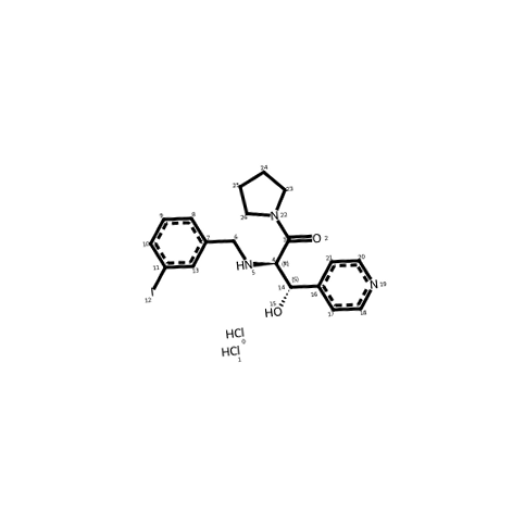 Cl.Cl.O=C([C@H](NCc1cccc(I)c1)[C@@H](O)c1ccncc1)N1CCCC1